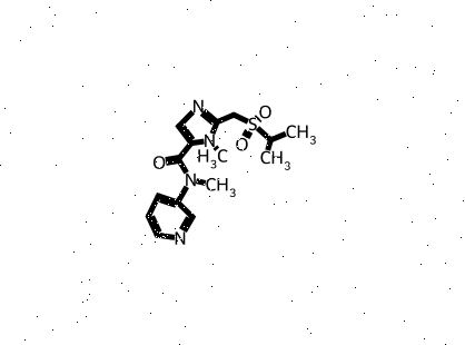 CC(C)S(=O)(=O)Cc1ncc(C(=O)N(C)c2cccnc2)n1C